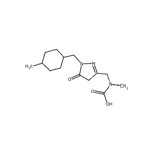 CC1CCC(CN2N=C(CN(C)C(=O)O)CC2=O)CC1